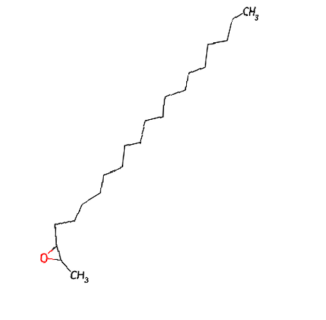 CCCCCCCCCCCCCCCCCCC1OC1C